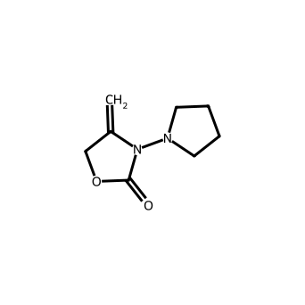 C=C1COC(=O)N1N1CCCC1